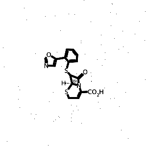 O=C(O)C1=CCS[C@H]2C(Sc3ccccc3-c3cnco3)C(=O)N12